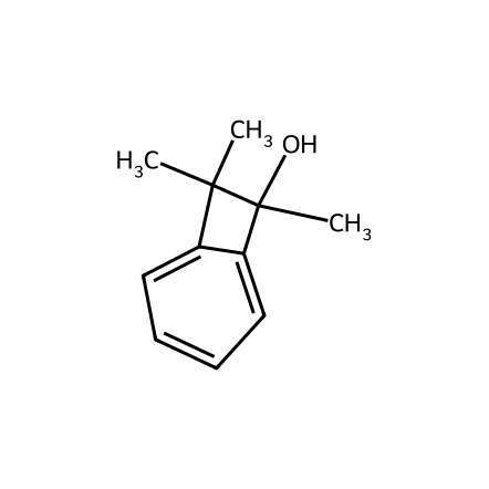 CC1(C)c2ccccc2C1(C)O